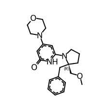 COC[C@]1(Cc2ccccc2)CCCN1c1cc(N2CCOCC2)cc(=O)[nH]1